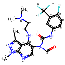 Cc1nn(C)c2ncc(N(C=O)C(=O)Nc3ccc(F)c(C(F)(F)F)c3)c(NCCN(C)C)c12